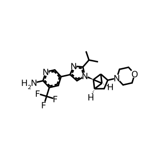 CC(C)c1nc(-c2cnc(N)c(C(F)(F)F)c2)cn1[C@]12C3C(N4CCOCC4)C[C@@H]1[C@H]32